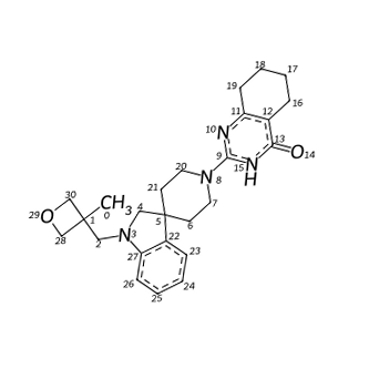 CC1(CN2CC3(CCN(c4nc5c(c(=O)[nH]4)CCCC5)CC3)c3ccccc32)COC1